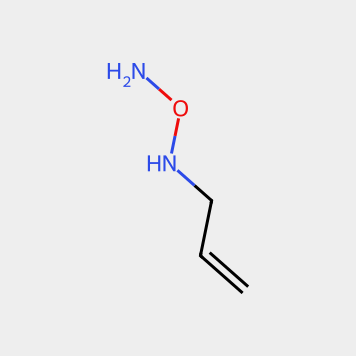 C=CCNON